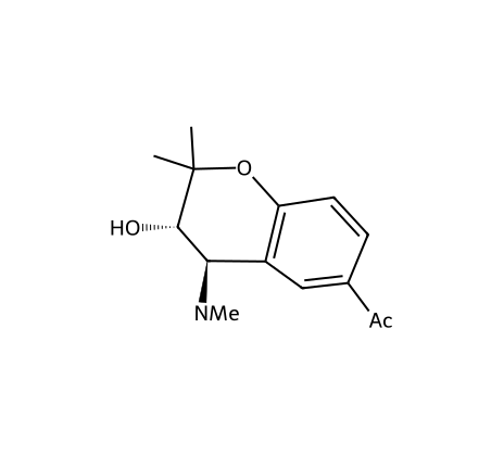 CN[C@@H]1c2cc(C(C)=O)ccc2OC(C)(C)[C@H]1O